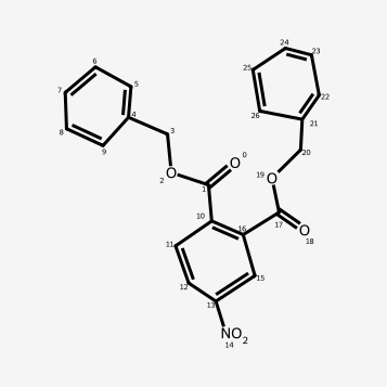 O=C(OCc1ccccc1)c1ccc([N+](=O)[O-])cc1C(=O)OCc1ccccc1